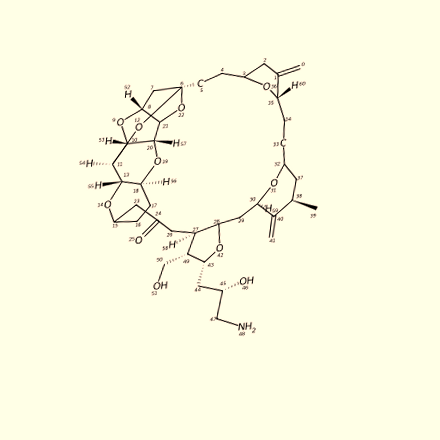 C=C1CC2CC[C@@]34C[C@H]5O[C@H]6[C@@H](O3)[C@H]3OC(CC[C@@H]3O[C@H]6C5O4)CC(=O)C[C@H]3C(C[C@H]4OC(CC[C@@H]1O2)C[C@@H](C)C4=C)O[C@H](C[C@H](O)CN)[C@@H]3CO